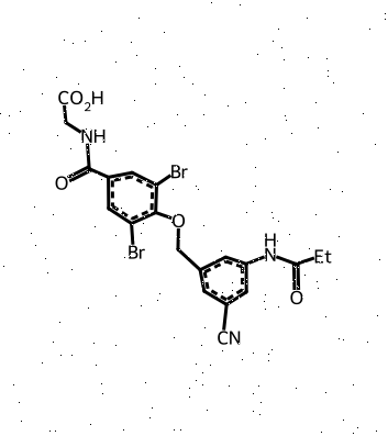 CCC(=O)Nc1cc(C#N)cc(COc2c(Br)cc(C(=O)NCC(=O)O)cc2Br)c1